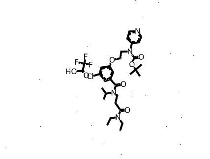 CCN(CC)C(=O)CCN(C(=O)c1cc(Cl)cc(OCCN(C(=O)OC(C)(C)C)c2ccncc2)c1)C(C)C.O=C(O)C(F)(F)F